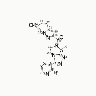 CC1c2nnc(-c3cccnc3F)n2CCN1C(=O)c1cc2ccc(Cl)cn2n1